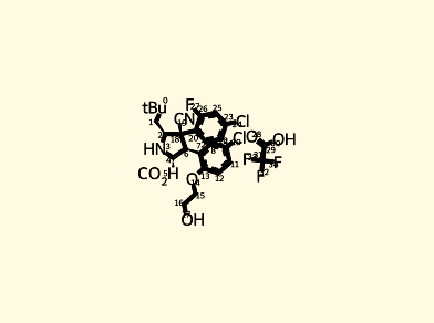 CC(C)(C)C[C@@H]1N[C@@H](C(=O)O)[C@H](c2cc(Cl)ccc2OCCO)[C@@]1(C#N)c1ccc(Cl)cc1F.O=C(O)C(F)(F)F